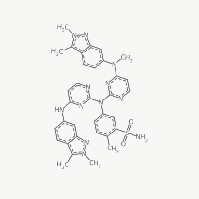 Cc1ccc(N(c2nccc(Nc3ccc4c(C)n(C)nc4c3)n2)c2nccc(N(C)c3ccc4c(C)n(C)nc4c3)n2)cc1S(N)(=O)=O